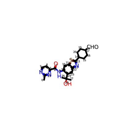 Cc1nccc(C(=O)Nc2cc3sc(C4CCC(C=O)CC4)nc3cc2C(C)(C)O)n1